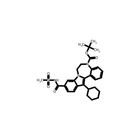 CC(C)(C)OC(=O)N1CCn2c(c(C3CCCCC3)c3ccc(C(=O)NS(C)(=O)=O)cc32)-c2ccccc21